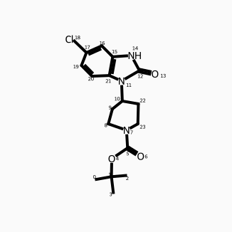 CC(C)(C)OC(=O)N1CCC(n2c(=O)[nH]c3cc(Cl)ccc32)CC1